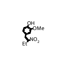 CC/C(=C/c1ccc(O)c(OC)c1)[N+](=O)[O-]